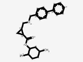 CC1CCC(C(C)C)C(OC(=O)C2CC2COCc2ccc(-c3ccccc3)cc2)C1